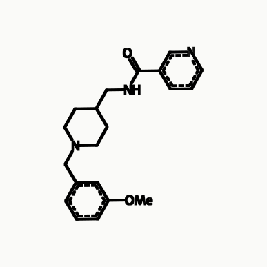 COc1cccc(CN2CCC(CNC(=O)c3cccnc3)CC2)c1